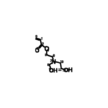 C=CC(=O)OCCN(CO)CCO